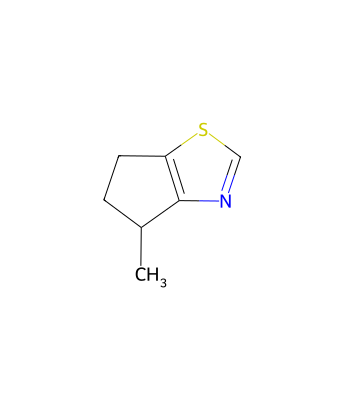 CC1CCc2scnc21